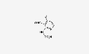 O=Cc1c(Cl)ccnc1NC(=O)O